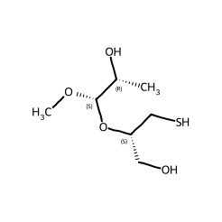 CO[C@@H](O[C@@H](CO)CS)[C@@H](C)O